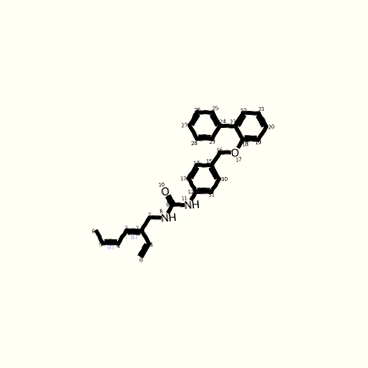 C=C/C(=C\C=C/C)CNC(=O)Nc1ccc(COc2ccccc2-c2ccccc2)cc1